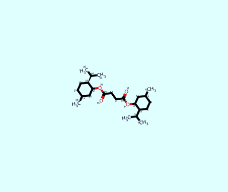 CC1CCC(C(C)C)C(OC(=O)CCC(=O)OC2CC(C)CC[C@H]2C(C)C)C1